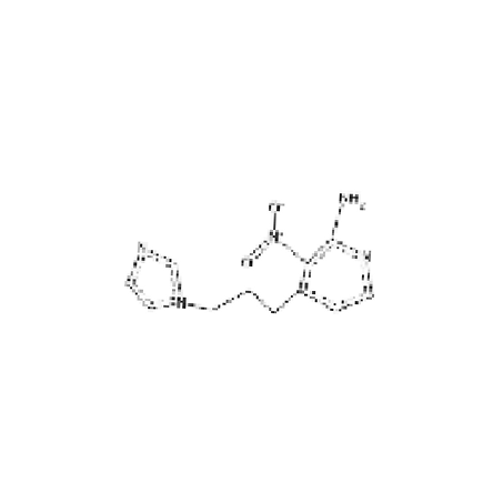 Nc1nccc(CCCn2ccnc2)c1[N+](=O)[O-]